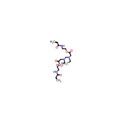 C=CC(=O)NCCOC(=O)CN(CC(=O)O)CN(CC(=O)O)CC(=O)OCCNC(=O)C=C